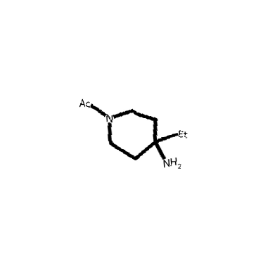 CCC1(N)CCN(C(C)=O)CC1